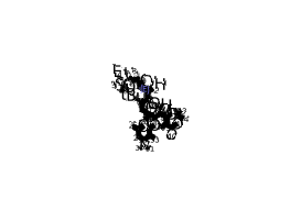 CC[C@@H](O[Si](C)(C)C(C)(C)C)[C@@](C)(O)/C=C(\C)C(O)[C@H](C)C[C@@](C)(OC)[C@H](OC1OC(C)CC(N(C)C)C1C)[C@@H](C)C1=C(C)C(=O)OC(C)(C)O1